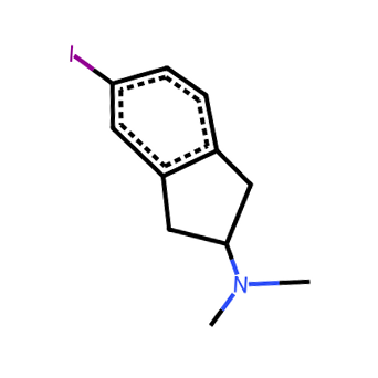 CN(C)C1Cc2ccc(I)cc2C1